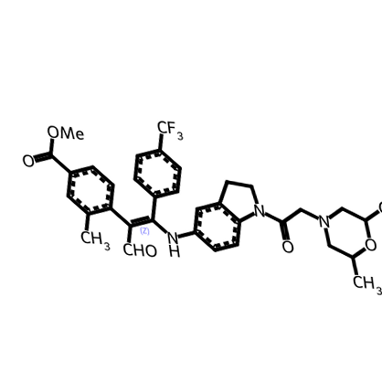 COC(=O)c1ccc(/C(C=O)=C(/Nc2ccc3c(c2)CCN3C(=O)CN2CC(C)OC(C)C2)c2ccc(C(F)(F)F)cc2)c(C)c1